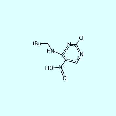 CC(C)(C)CNc1nc(Cl)ncc1[N+](=O)O